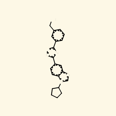 CCc1cccc(-c2nc(-c3ccc4c(c3)ncn4C3CCCC3)no2)c1